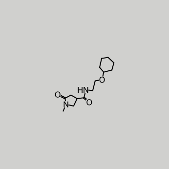 CN1CC(C(=O)NCCOC2CCCCC2)CC1=O